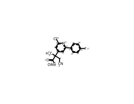 COC(=O)C(C)(CC#N)c1cc(Cl)nc(-c2ccc(F)cc2)c1